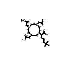 CC(C)(C)CCCC(C(=O)O)N1CCN(CC(=O)O)CCN(CC(=O)O)CCN(CC(=O)O)CC1